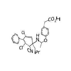 CC(C)CC1(NC(C)Oc2ccc(CC(=O)O)cc2)C=C(Cl)C(c2ccccc2)=C(Cl)C1C#N